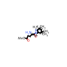 COC(=O)CC[C@H](N)C(=O)NC1(C)CC(C)(C)CC(C)(C)C1